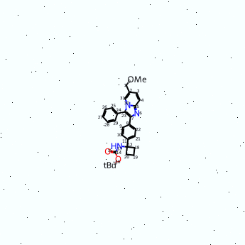 COCc1ccc2nc(-c3ccc(C4(NC(=O)OC(C)(C)C)CCC4)cc3)c(-c3ccccc3)n2c1